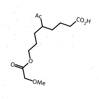 COCC(=O)OCCCC(CCCC(=O)O)C(C)=O